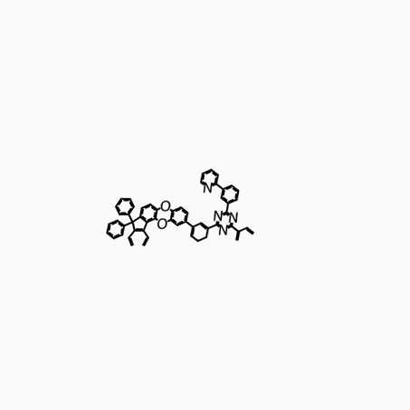 C=CC(=C)c1nc(C2=CC(c3ccc4c(c3)Oc3c(ccc5c3C(C=C)=C(C=C)C5(c3ccccc3)c3ccccc3)O4)=CCC2)nc(-c2cccc(-c3ccccn3)c2)n1